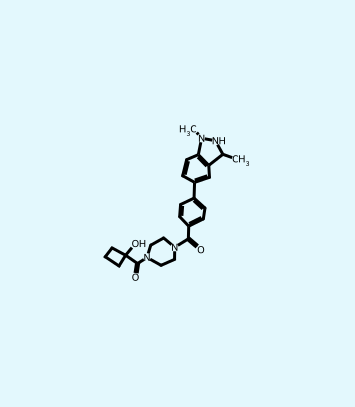 CC1NN(C)c2ccc(-c3ccc(C(=O)N4CCN(C(=O)C5(O)CCC5)CC4)cc3)cc21